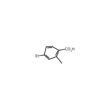 CCc1ccc(C(=O)O)c(C)c1